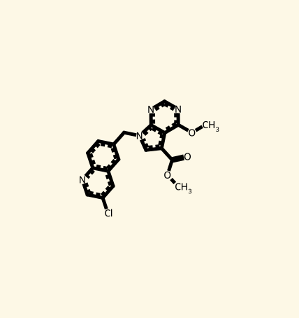 COC(=O)c1cn(Cc2ccc3ncc(Cl)cc3c2)c2ncnc(OC)c12